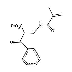 C=C(C)C(=O)NCC(C(=O)OCC)C(=O)c1ccccc1